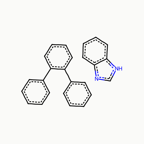 c1ccc(-c2ccccc2-c2ccccc2)cc1.c1ccc2[nH]cnc2c1